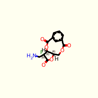 NC[C@]1(F)C(=O)O[C@@H]2COC(=O)c3cccc(c3)C(=O)O[C@H]21